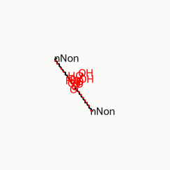 CCCCCCCCCC=CCCCCCCCCCCCCCCC(=O)OC[C@H](COP(=O)(O)OC[C@@H](O)[C@H](O)CO)OC(=O)CCCCCCCCCCCCCC/C=C\CCCCCCCCC